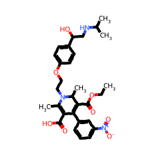 CCOC(=O)C1=C(c2cccc([N+](=O)[O-])c2)C(C(=O)O)=C(C)N(CCOc2ccc(C(O)CNC(C)C)cc2)C1C